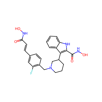 O=C(C=Cc1ccc(CN2CCCC(c3c(C(=O)NO)[nH]c4ccccc34)C2)c(F)c1)NO